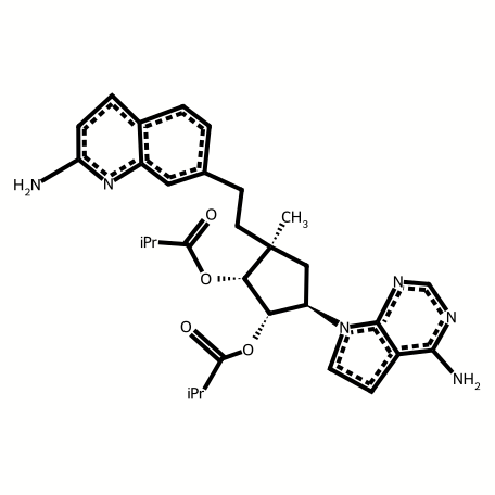 CC(C)C(=O)O[C@H]1[C@H](n2ccc3c(N)ncnc32)C[C@](C)(CCc2ccc3ccc(N)nc3c2)[C@H]1OC(=O)C(C)C